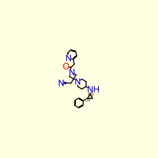 N#CCC1(N2CCC(N[C@@H]3C[C@H]3c3ccccc3)CC2)CN(C(=O)Cc2ccccn2)C1